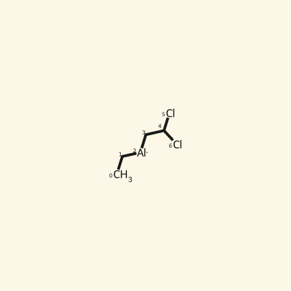 C[CH2][Al][CH2]C(Cl)Cl